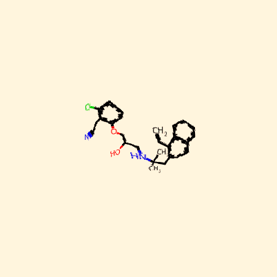 C=Cc1c(CC(C)(C)NCC(O)COc2cccc(Cl)c2C#N)ccc2ccccc12